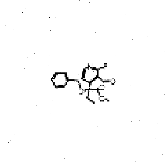 CCC(OCc1ccccc1)(C(=O)OC)c1ccnc(F)c1C=O